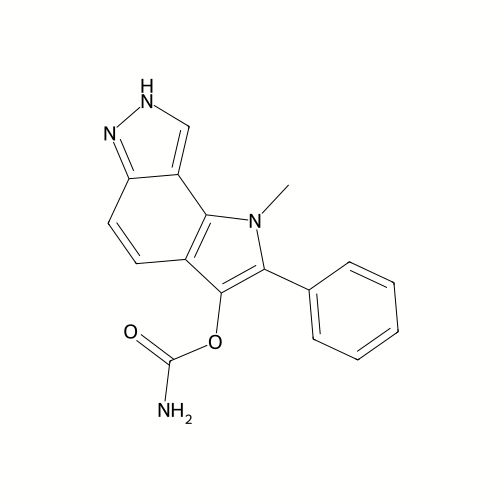 Cn1c(-c2ccccc2)c(OC(N)=O)c2ccc3n[nH]cc3c21